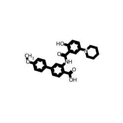 COc1ccc(-c2ccc(C(=O)O)c(NC(=O)c3cc(N4CCCCC4)ccc3O)c2)cc1